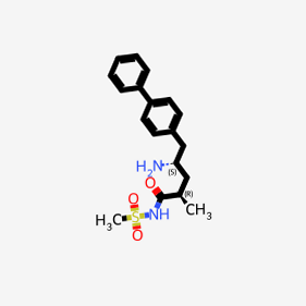 C[C@H](C[C@H](N)Cc1ccc(-c2ccccc2)cc1)C(=O)NS(C)(=O)=O